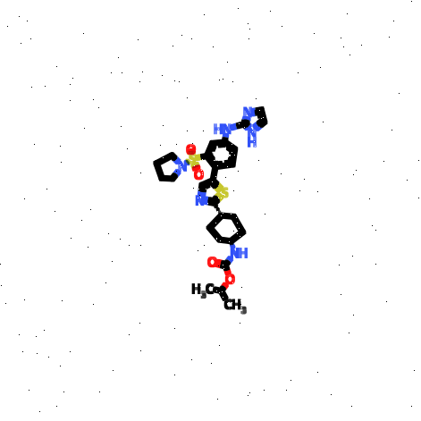 CC(C)OC(=O)N[C@H]1CC[C@H](c2ncc(-c3ccc(Nc4ncc[nH]4)cc3S(=O)(=O)N3CCCC3)s2)CC1